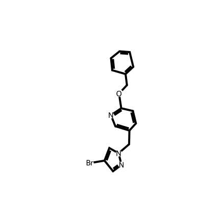 Brc1cnn(Cc2ccc(OCc3ccccc3)nc2)c1